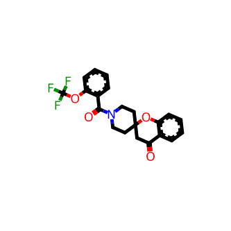 O=C1CC2(CCN(C(=O)c3ccccc3OC(F)(F)F)CC2)Oc2ccccc21